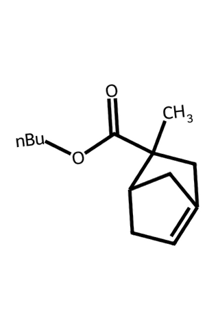 CCCCOC(=O)C1(C)CC2=CCC1C2